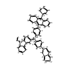 CCn1c2ccccc2c2cc(N(c3ccc(-c4ccc5ccccc5c4)cc3)c3ccc(-c4c5ccccc5c(-c5ccccc5)c5ccccc45)cc3)ccc21